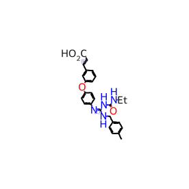 CCNC(=O)N/C(=N\c1ccc(Oc2cccc(/C=C/C(=O)O)c2)cc1)NCc1ccc(C)cc1